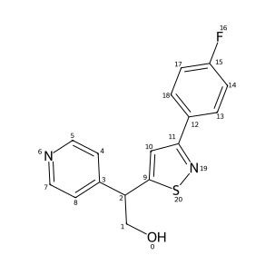 OCC(c1ccncc1)c1cc(-c2ccc(F)cc2)ns1